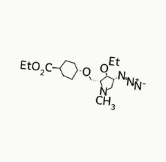 CCOC(=O)[C@H]1CC[C@H](OC[C@@H]2[C@@H](OCC)[C@H](N=[N+]=[N-])CN2C)CC1